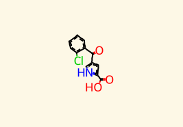 O=C(O)c1cc(C(=O)c2ccccc2Cl)c[nH]1